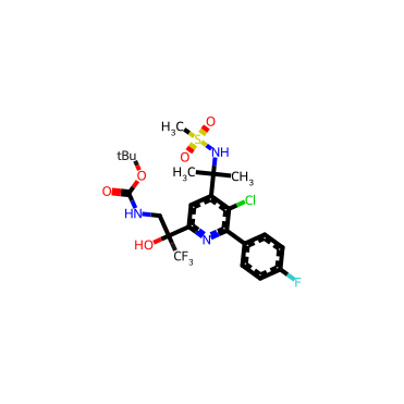 CC(C)(C)OC(=O)NCC(O)(c1cc(C(C)(C)NS(C)(=O)=O)c(Cl)c(-c2ccc(F)cc2)n1)C(F)(F)F